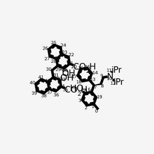 Cc1ccc(O)c([C@H](CCN(C(C)C)C(C)C)c2ccccc2)c1.O=C(O)c1cc2ccccc2c(Cc2c(O)c(C(=O)O)cc3ccccc23)c1O